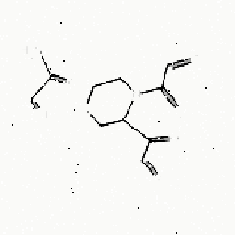 C=CC(=O)C1CNCCN1C(=O)C=C.C=CC(N)=O